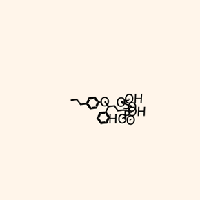 CCCc1ccc(OC(CCC(P(=O)(O)O)S(=O)(=O)O)c2ccccc2)cc1